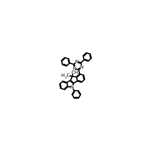 CC1(C)c2c(-c3nc(-c4ccccc4)nc(-c4ccccc4)n3)cccc2-c2c1c1ccccc1n2-c1ccccc1